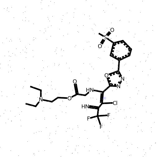 CCN(CC)CCOC(=O)CN/C(=C(/Cl)C(=N)C(F)(F)F)c1nnc(-c2cccc(S(C)(=O)=O)c2)o1